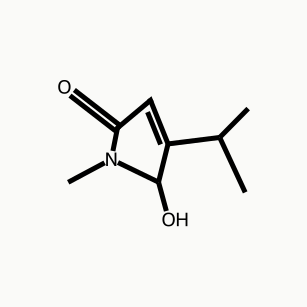 CC(C)C1=CC(=O)N(C)C1O